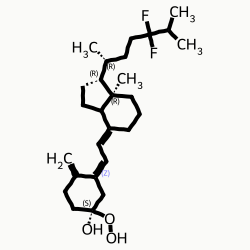 C=C1CC[C@](O)(OO)C/C1=C/C=C1CCC[C@@]2(C)C1CC[C@@H]2[C@H](C)CCC(F)(F)C(C)C